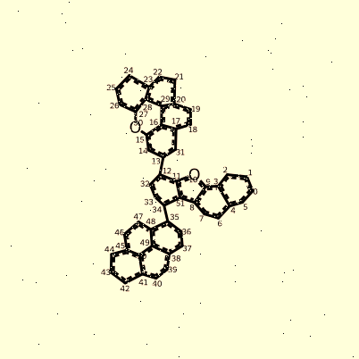 c1ccc2c(c1)ccc1c2oc2c(-c3cc4c5c(ccc6ccc7cccc(c7c65)O4)c3)ccc(-c3ccc4ccc5cccc6ccc3c4c56)c21